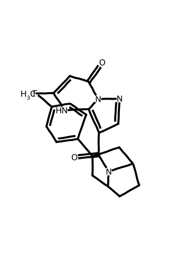 Cc1cc(=O)n2ncc(C(=O)N3C4CCC3CC(c3ccc(F)cc3)C4)c2[nH]1